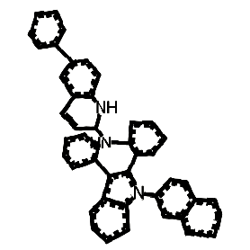 C1=CC(Nc2ccccc2-c2c(-c3ccccc3)c3ccccc3n2-c2ccc3ccccc3c2)Nc2ccc(-c3ccccc3)cc21